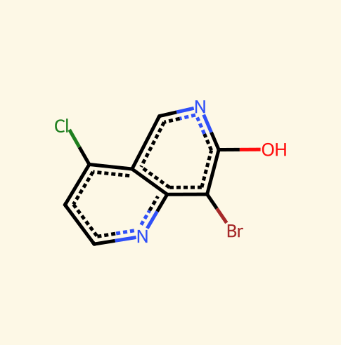 Oc1ncc2c(Cl)ccnc2c1Br